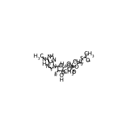 CNc1ncnc2c1ncn2[C@H]1O[C@H](COP(=O)(OCCSC(C)=O)N(C)C)[C@](C)(O)C1F